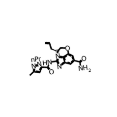 C=CC[C@H]1COc2cc(C(N)=O)cc3nc(NC(=O)c4cc(C)nn4CCC)n1c23